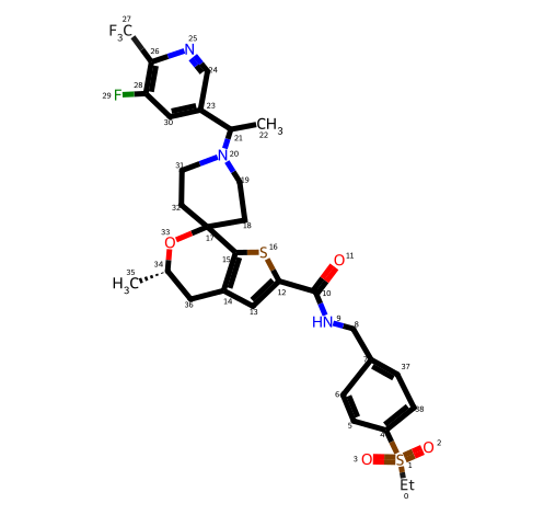 CCS(=O)(=O)c1ccc(CNC(=O)c2cc3c(s2)C2(CCN(C(C)c4cnc(C(F)(F)F)c(F)c4)CC2)O[C@@H](C)C3)cc1